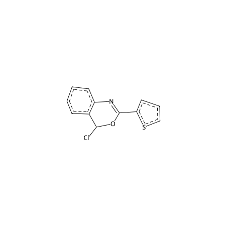 ClC1OC(c2cccs2)=Nc2ccccc21